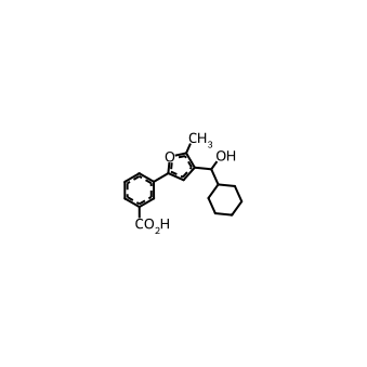 Cc1oc(-c2cccc(C(=O)O)c2)cc1C(O)C1CCCCC1